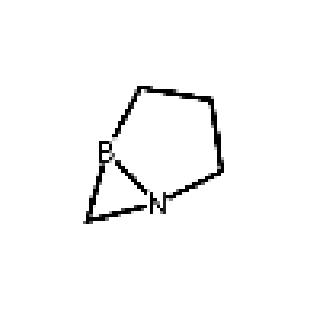 C1CB2CN2C1